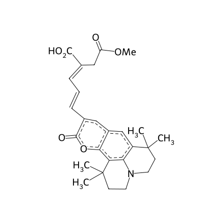 COC(=O)CC(=CC=Cc1cc2cc3c4c(c2oc1=O)C(C)(C)CCN4CCC3(C)C)C(=O)O